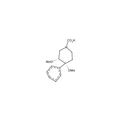 CO[C@@H]1CN(C(=O)O)CC[C@@]1(OC)c1ccccc1